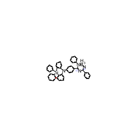 C/N=C(\N=C(/Nc1ccccc1)c1ccc(N2c3ccccc3[Si](c3ccccc3)(c3ccccc3)c3ccccc32)cc1)c1ccccc1